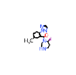 Cc1ccc(-n2nccn2)c(C(=O)N2CCNCCC2I)c1